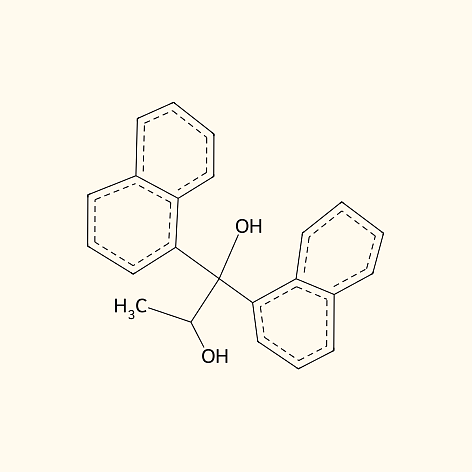 CC(O)C(O)(c1cccc2ccccc12)c1cccc2ccccc12